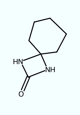 O=C1NC2(CCCCC2)N1